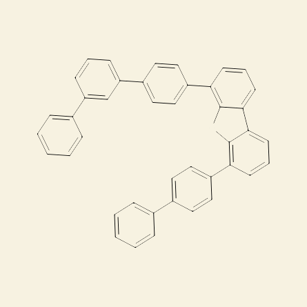 c1ccc(-c2ccc(-c3cccc4c3oc3c(-c5ccc(-c6cccc(-c7ccccc7)c6)cc5)cccc34)cc2)cc1